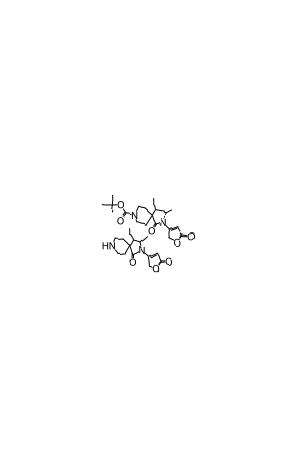 CC1C(I)C2(CCN(C(=O)OC(C)(C)C)CC2)C(=O)N1C1=CC(=O)OC1.CC1C(I)C2(CCNCC2)C(=O)N1C1=CC(=O)OC1